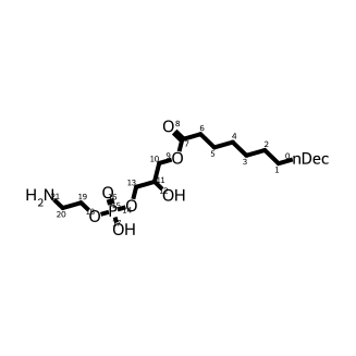 CCCCCCCCCCCCCCCCC(=O)OCC(O)COP(=O)(O)OCCN